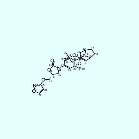 CC(C)(C)OC(=O)N1C2C=C(c3ccc(N4C[C@H](COc5ccon5)OC4=O)cc3F)CC1CC2